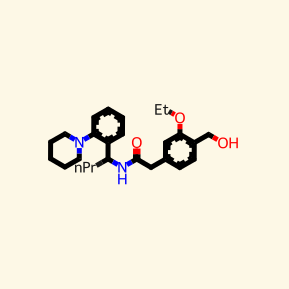 CCCC(NC(=O)Cc1ccc(CO)c(OCC)c1)c1ccccc1N1CCCCC1